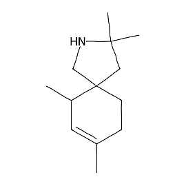 CC1=CC(C)C2(CC1)CNC(C)(C)C2